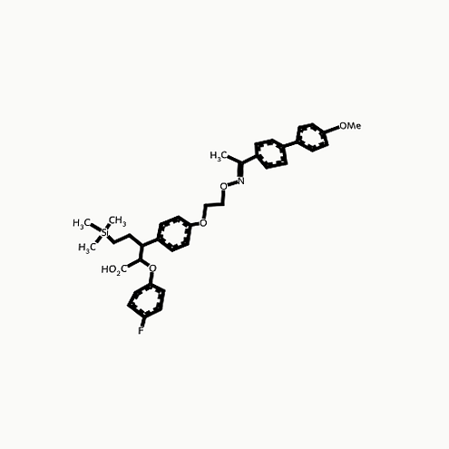 COc1ccc(-c2ccc(C(C)=NOCCOc3ccc(C(CC[Si](C)(C)C)C(Oc4ccc(F)cc4)C(=O)O)cc3)cc2)cc1